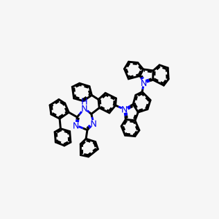 c1ccc(C2=NC(c3cc(-n4c5ccccc5c5ccc(-n6c7ccccc7c7ccccc76)cc54)ccc3-c3ccccc3)NC(c3ccccc3-c3ccccc3)=N2)cc1